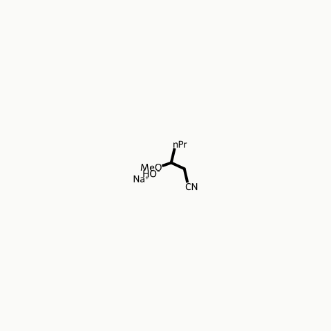 CCCC(CC#N)OC.[Na+].[OH-]